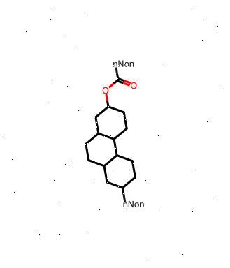 CCCCCCCCCC(=O)OC1CCC2C(CCC3CC(CCCCCCCCC)CCC32)C1